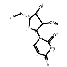 COC1C(O)[C@@H](CI)OC1n1ccc(=O)[nH]c1=O